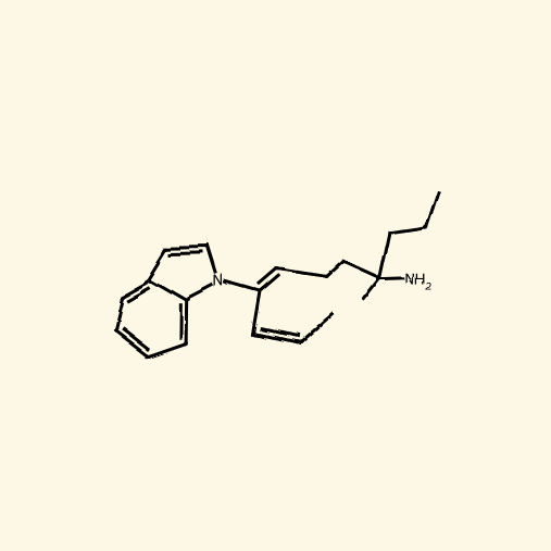 C/C=C\C(=C/CCC(C)(N)CCC)n1ccc2ccccc21